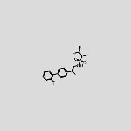 CC(CNS(=O)(=O)C(F)C(F)F)c1ccc(-c2ccccc2F)cc1